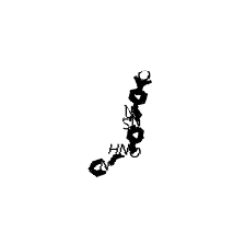 O=C(NCCCN1CCCCC1)c1ccc2c(c1)sc1nc(-c3ccc(C4COC4)cc3)cn12